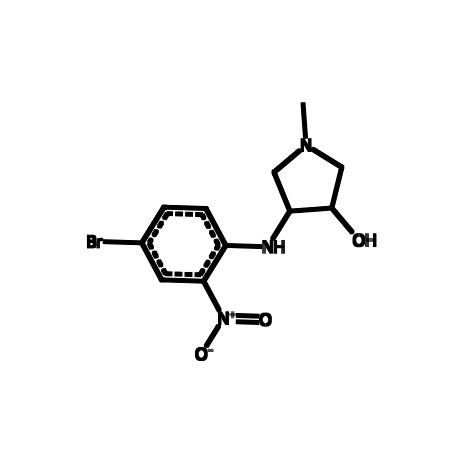 CN1CC(O)C(Nc2ccc(Br)cc2[N+](=O)[O-])C1